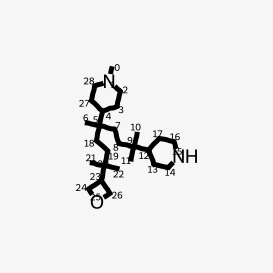 CN1CCC(C(C)(CCC(C)(C)C2CCNCC2)CCC(C)(C)C2COC2)CC1